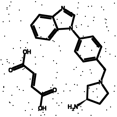 N[C@H]1CCN(Cc2ccc(-n3cnc4ccccc43)cc2)C1.O=C(O)/C=C/C(=O)O